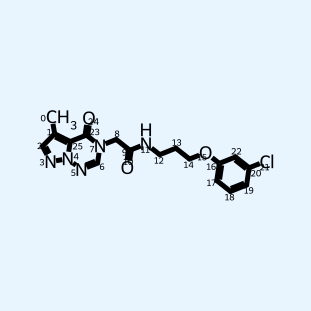 Cc1cnn2ncn(CC(=O)NCCCOc3cccc(Cl)c3)c(=O)c12